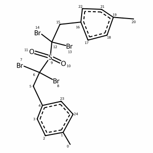 Cc1ccc(CC(Br)(Br)S(=O)(=O)C(Br)(Br)Cc2ccc(C)cc2)cc1